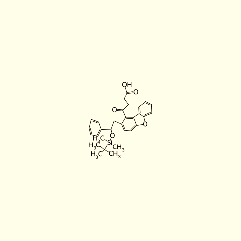 CC(C)(C)[Si](C)(C)OC(Cc1ccc2oc3ccccc3c2c1C(=O)CCC(=O)O)c1ccccc1